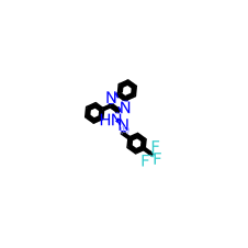 FC(F)(F)c1ccc(/C=N/Nc2nc3ccccc3nc2-c2ccccc2)cc1